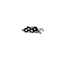 CC1(C)CC[C@H]2C3CCC4=CC(=O)C=C[C@]4(C)[C@H]3CC[C@@]21C